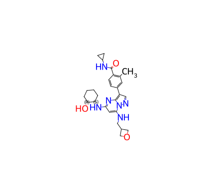 Cc1cc(-c2cnn3c(NCC4COC4)cc(N[C@H]4CCCC[C@H]4O)nc23)ccc1C(=O)NC1CC1